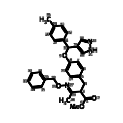 COC(=O)C(Cc1ccc(OC(c2ccc(C)cc2)c2cn[nH]c2)cc1)C(C)=NOCc1ccccc1